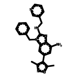 Cc1noc(C)c1-c1cc(N)c2nc(NCc3cccnc3)n(Cc3ccccc3)c2c1